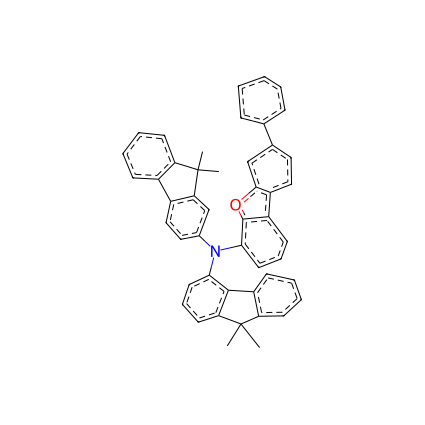 CC1(C)c2ccccc2-c2ccc(N(c3cccc4c3-c3ccccc3C4(C)C)c3cccc4c3oc3cc(-c5ccccc5)ccc34)cc21